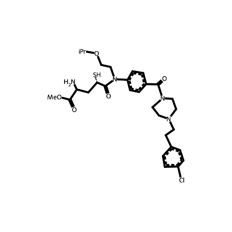 COC(=O)C(N)C[C@H](S)C(=O)N(CCOC(C)C)c1ccc(C(=O)N2CCN(CCc3ccc(Cl)cc3)CC2)cc1